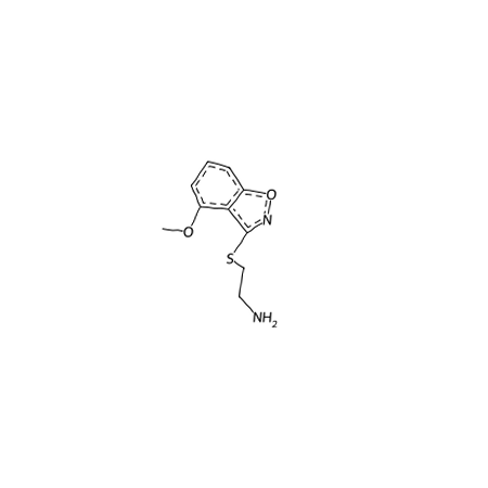 COc1cccc2onc(SCCN)c12